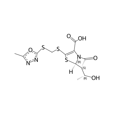 Cc1nnc(SCSC2=C(C(=O)O)N3C(=O)[C@H]([C@@H](C)O)[C@H]3S2)o1